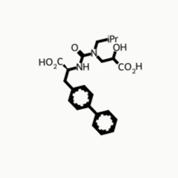 CC(C)CN(CC(O)C(=O)O)C(=O)N[C@@H](Cc1ccc(-c2ccccc2)cc1)C(=O)O